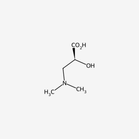 CN(C)C[C@H](O)C(=O)O